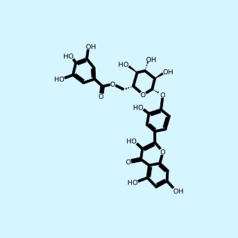 O=C(OC[C@H]1O[C@@H](Oc2ccc(-c3oc4cc(O)cc(O)c4c(=O)c3O)cc2O)[C@H](O)[C@@H](O)[C@@H]1O)c1cc(O)c(O)c(O)c1